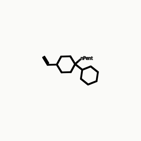 C=CC1CCC(CCCCC)(C2CCCCC2)CC1